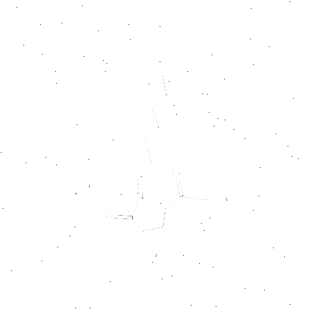 CCCCSCCN1C(=O)CCC1C(=O)O